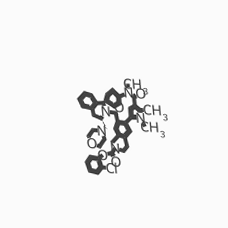 Cc1c(C(=O)N(C)c2ccccc2)cc(-c2cc3c(cc2C(=O)N2Cc4ccccc4C[C@H]2CN2CCOCC2)CN(C(=O)Oc2ccccc2Cl)CC3)n1C